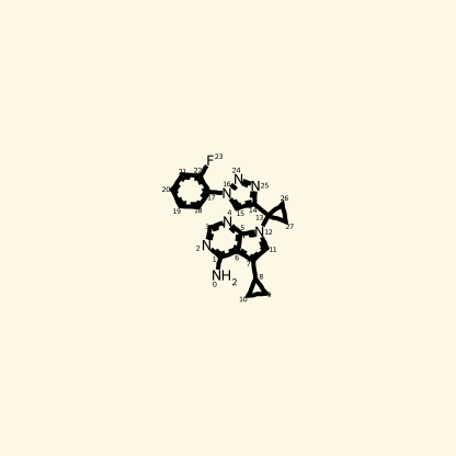 Nc1ncnc2c1c(C1CC1)cn2C1(c2cn(-c3ccccc3F)nn2)CC1